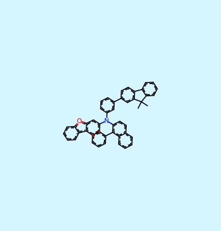 CC1(C)c2ccccc2-c2ccc(-c3cccc(N(c4ccc5c(c4)oc4ccccc45)c4ccc5ccccc5c4-c4ccccc4)c3)cc21